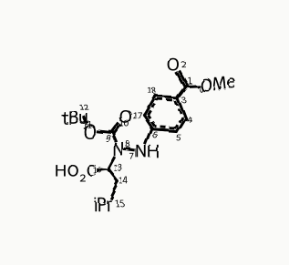 COC(=O)c1ccc(NN(C(=O)OC(C)(C)C)[C@@H](CC(C)C)C(=O)O)cc1